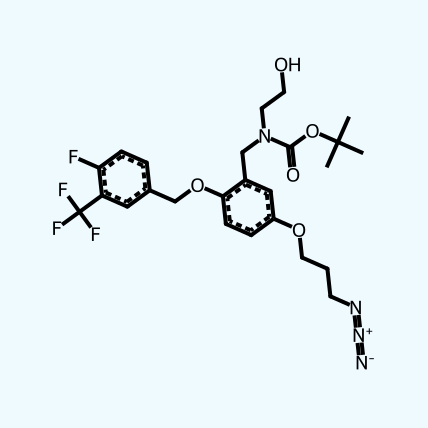 CC(C)(C)OC(=O)N(CCO)Cc1cc(OCCCN=[N+]=[N-])ccc1OCc1ccc(F)c(C(F)(F)F)c1